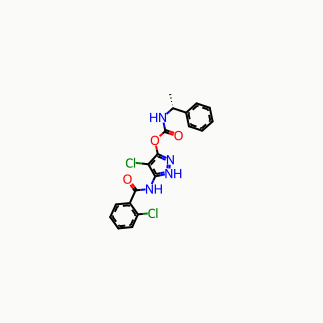 C[C@@H](NC(=O)Oc1n[nH]c(NC(=O)c2ccccc2Cl)c1Cl)c1ccccc1